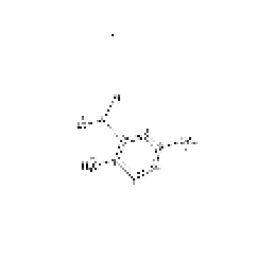 CCN(CC)c1cc(OC(C)=O)ccc1C